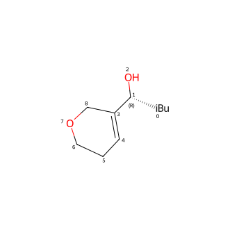 CCC(C)[C@@H](O)C1=CCCOC1